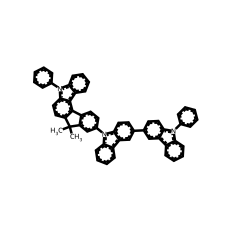 CC1(C)c2cc(-n3c4ccccc4c4cc(-c5ccc6c(c5)c5ccccc5n6-c5ccccc5)ccc43)ccc2-c2c1ccc1c2c2ccccc2n1-c1ccccc1